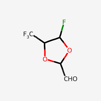 O=CC1OC(F)C(C(F)(F)F)O1